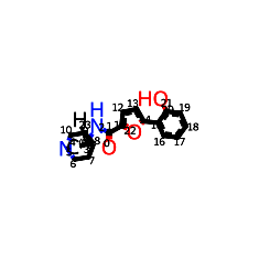 O=C(N[C@H]1CN2CCC1CC2)c1ccc(-c2ccccc2O)o1